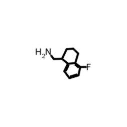 NCC1CCCc2c(F)cccc21